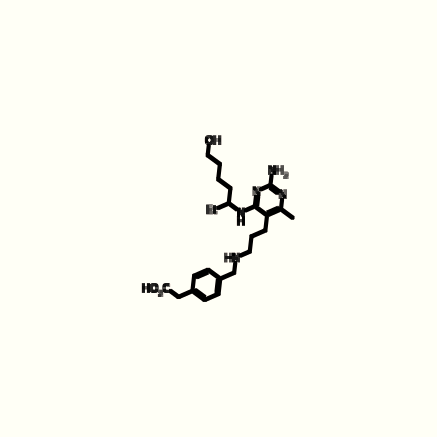 CCC(CCCCO)Nc1nc(N)nc(C)c1CCCNCc1ccc(CC(=O)O)cc1